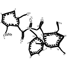 COc1cccc(Cl)c1C(=O)P(=O)(C(=O)c1c(C)cc(C)cc1C)c1ccccc1